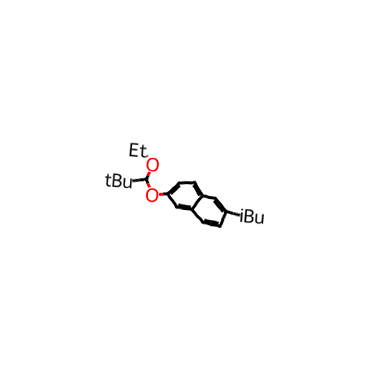 CCOC(Oc1ccc2cc(C(C)CC)ccc2c1)C(C)(C)C